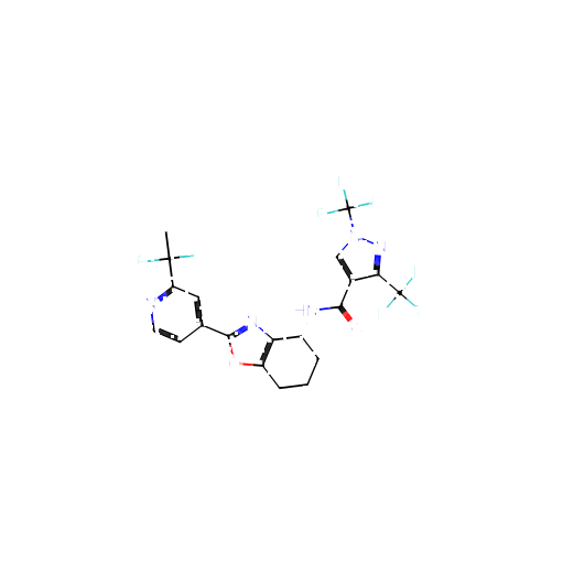 CC(F)(F)c1cc(-c2nc3c(o2)CCC[C@H]3NC(=O)c2cn(C(F)(F)F)nc2C(F)(F)F)ccn1